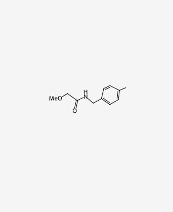 COCC(=O)NCc1ccc(C)cc1